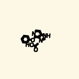 CC(=O)O.c1ccc(Oc2nccc3[nH]cnc23)cc1